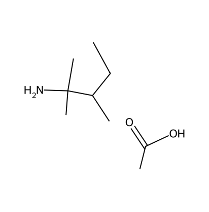 CC(=O)O.CCC(C)C(C)(C)N